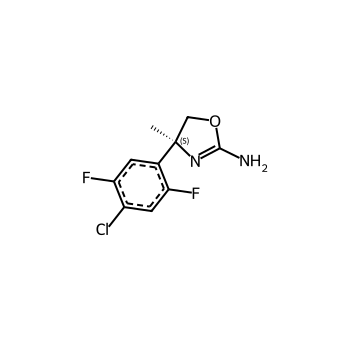 C[C@]1(c2cc(F)c(Cl)cc2F)COC(N)=N1